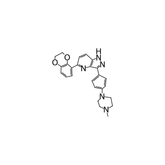 CN1CCN(c2ccc(-c3n[nH]c4ccc(-c5cccc6c5OCCO6)nc34)cc2)CC1